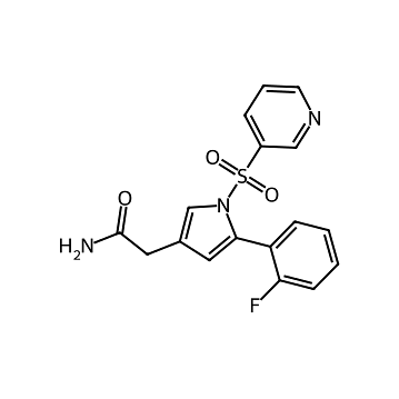 NC(=O)Cc1cc(-c2ccccc2F)n(S(=O)(=O)c2cccnc2)c1